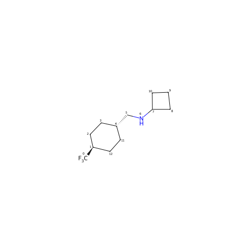 FC(F)(F)[C@H]1CC[C@H](CNC2CCC2)CC1